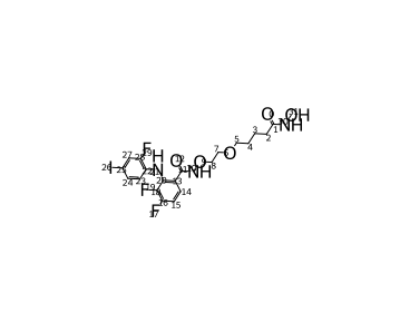 O=C(CCCCOCCONC(=O)c1ccc(F)c(F)c1Nc1ccc(I)cc1F)NO